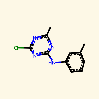 Cc1cccc(Nc2nc(C)nc(Cl)n2)c1